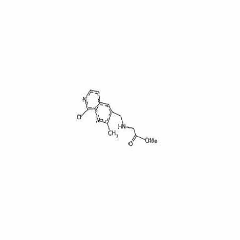 COC(=O)CNCc1cc2ccnc(Cl)c2nc1C